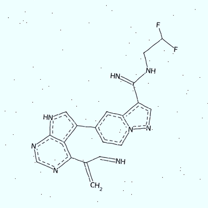 C=C(C=N)c1ncnc2[nH]cc(-c3ccn4ncc(C(=N)NCC(F)F)c4c3)c12